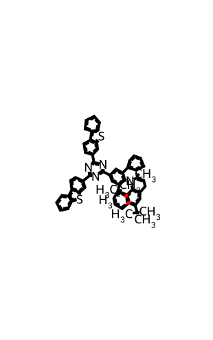 CC1=CCc2cc(C(C)(C)C)cc(C(C)(C)C)c2N1c1c(-c2ccccc2)cc(-c2nc(-c3ccc4c(c3)sc3ccccc34)nc(-c3ccc4c(c3)sc3ccccc34)n2)cc1-c1ccccc1